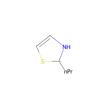 CCC[C]1NC=CS1